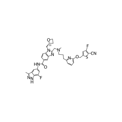 Cc1n[nH]c2c(F)cc(NC(=O)c3ccc4c(c3)nc(CN(C)CCCc3cccc(OCc5cc(F)c(C#N)s5)n3)n4C[C@@H]3CCO3)cc12